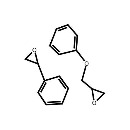 c1ccc(C2CO2)cc1.c1ccc(OCC2CO2)cc1